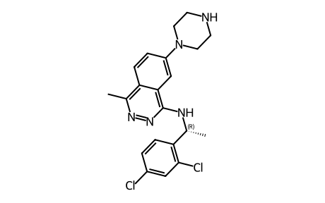 Cc1nnc(N[C@H](C)c2ccc(Cl)cc2Cl)c2cc(N3CCNCC3)ccc12